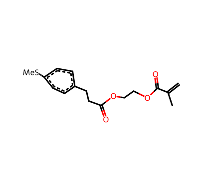 C=C(C)C(=O)OCCOC(=O)CCc1ccc(SC)cc1